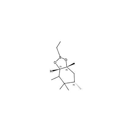 CCB1O[C@H]2C(C)C(C)(C)[C@@H](C)C[C@@]2(C)O1